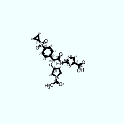 CC(=O)N1CC[C@H](C[C@@H](C(=O)Nc2ncc(C(=O)O)s2)c2ccc(S(=O)(=O)C3CC3)cc2)C1